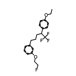 CCOc1ccc(C(CCCc2cccc(OCCF)c2)C(F)(F)F)cc1